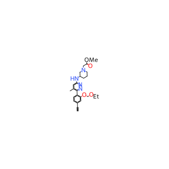 C#Cc1ccc(-c2nnc(NC3CCCN(CC(=O)OC)C3)cc2C)c(OCOCC)c1